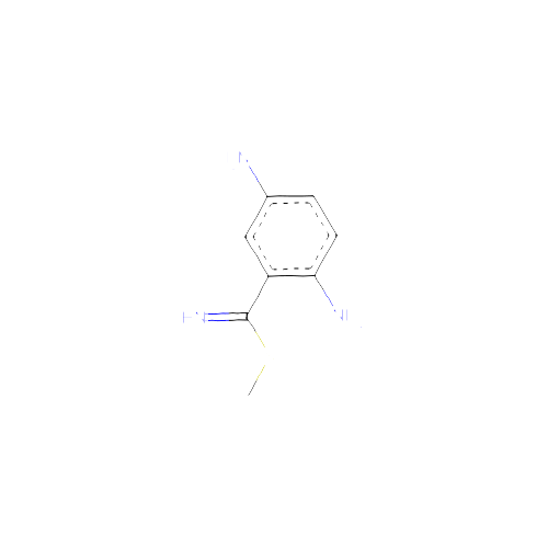 CSC(=N)c1cc(N)ccc1N